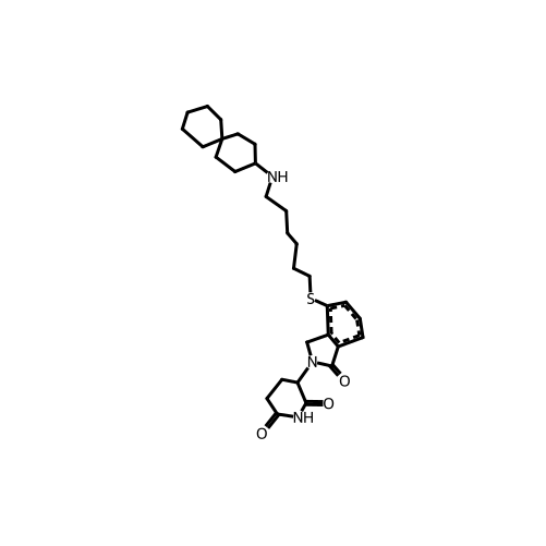 O=C1CCC(N2Cc3c(SCCCCCCNC4CCC5(CCCCC5)CC4)cccc3C2=O)C(=O)N1